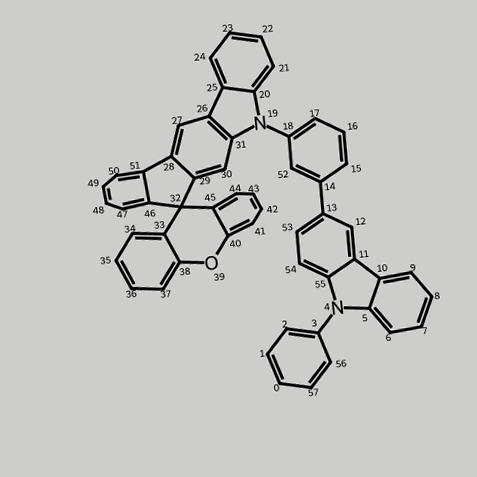 c1ccc(-n2c3ccccc3c3cc(-c4cccc(-n5c6ccccc6c6cc7c(cc65)C5(c6ccccc6Oc6ccccc65)c5ccccc5-7)c4)ccc32)cc1